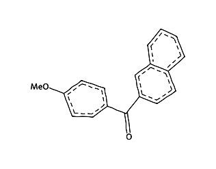 COc1ccc(C(=O)c2ccc3ccccc3c2)cc1